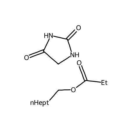 CCCCCCCCOC(=O)CC.O=C1CNC(=O)N1